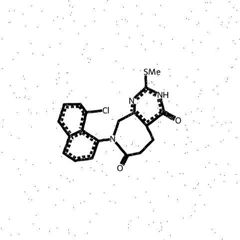 CSc1nc2c(c(=O)[nH]1)CCC(=O)N(c1cccc3cccc(Cl)c13)C2